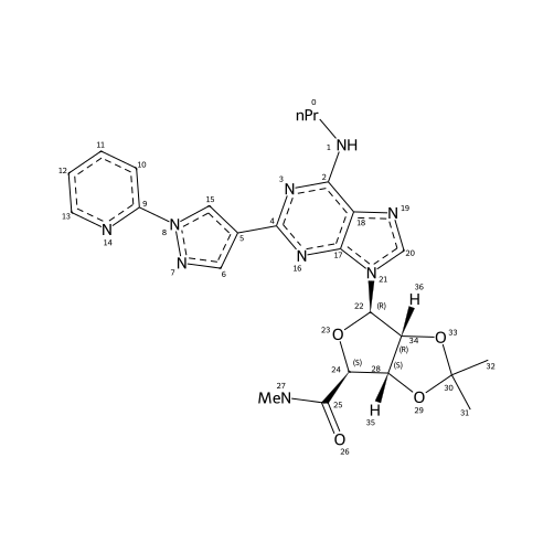 CCCNc1nc(-c2cnn(-c3ccccn3)c2)nc2c1ncn2[C@@H]1O[C@H](C(=O)NC)[C@H]2OC(C)(C)O[C@H]21